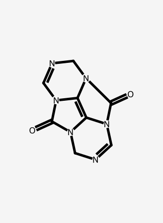 O=c1n2c3c4n(c(=O)n3CN=C2)C=NCn14